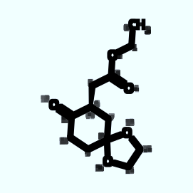 CCOC(=O)C[C@H]1CC2(CCC1=O)OCCO2